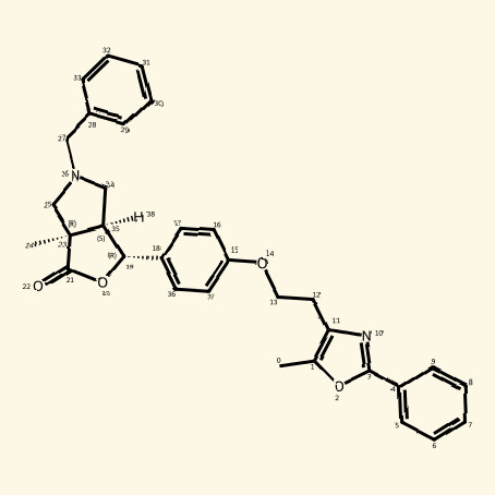 Cc1oc(-c2ccccc2)nc1CCOc1ccc([C@@H]2OC(=O)[C@@]3(C)CN(Cc4ccccc4)C[C@@H]23)cc1